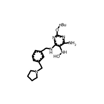 CCCCOc1nc(N)c(NO)c(NCc2cccc(CN3CCCC3)c2)n1